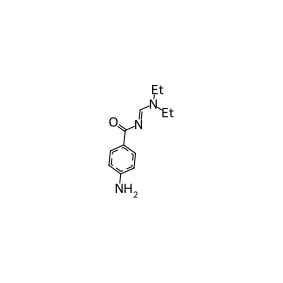 CCN(C=NC(=O)c1ccc(N)cc1)CC